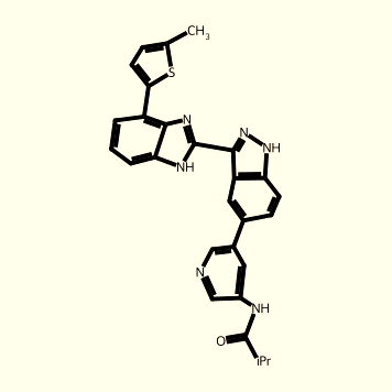 Cc1ccc(-c2cccc3[nH]c(-c4n[nH]c5ccc(-c6cncc(NC(=O)C(C)C)c6)cc45)nc23)s1